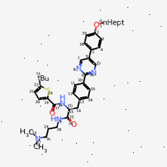 CCCCCCCOc1ccc(-c2cnc(-c3ccc(C[C@H](NC(=O)c4ccc(C(C)(C)C)s4)C(=O)NCCCN(C)C)cc3)nc2)cc1